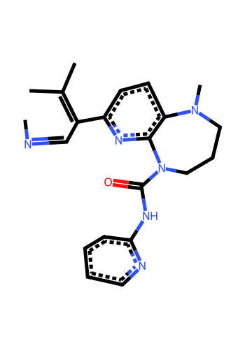 C/N=C\C(=C(C)C)c1ccc2c(n1)N(C(=O)Nc1ccccn1)CCCN2C